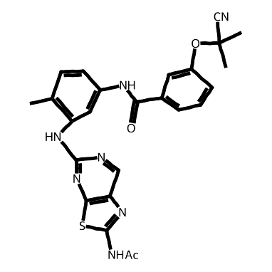 CC(=O)Nc1nc2cnc(Nc3cc(NC(=O)c4cccc(OC(C)(C)C#N)c4)ccc3C)nc2s1